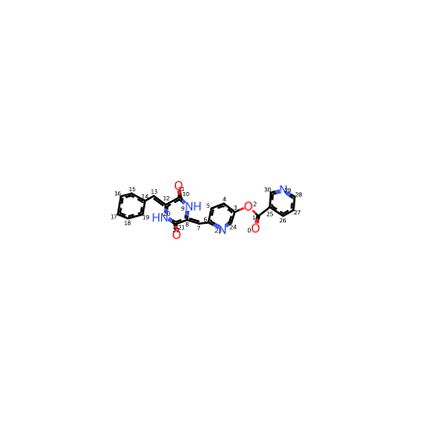 O=C(Oc1ccc(/C=c2\[nH]c(=O)/c(=C/c3ccccc3)[nH]c2=O)nc1)c1cccnc1